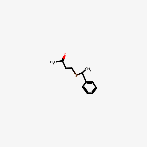 CC(=O)CCSC(C)c1ccccc1